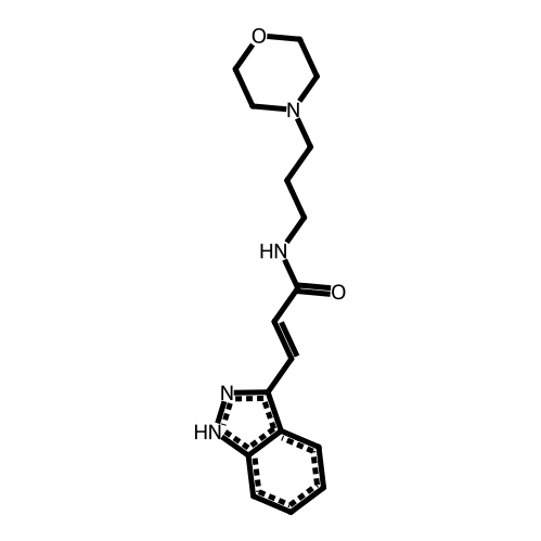 O=C(C=Cc1n[nH]c2ccccc12)NCCCN1CCOCC1